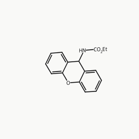 CCOC(=O)NC1c2ccccc2Oc2ccccc21